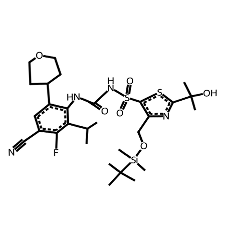 CC(C)c1c(F)c(C#N)cc(C2CCOCC2)c1NC(=O)NS(=O)(=O)c1sc(C(C)(C)O)nc1CO[Si](C)(C)C(C)(C)C